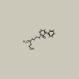 CN(CCO)CCCCn1nccc(-c2ccccc2)c1=O